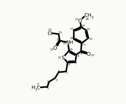 CCCCCCc1cc(C(=O)c2ccc(OC)cc2)c(NC(=O)CCl)s1